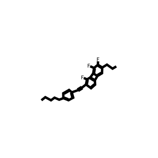 CCCCCc1ccc(C#Cc2ccc3c(c2F)-c2c-3cc(CCC)c(F)c2F)cc1